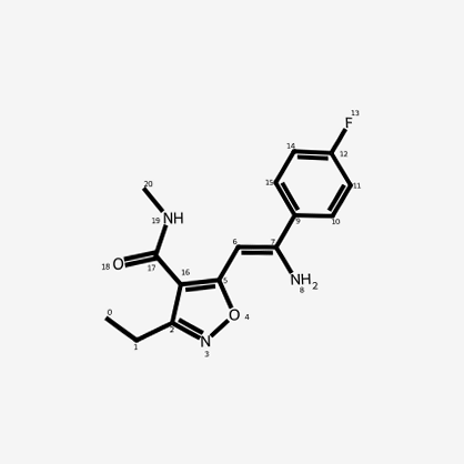 CCc1noc(C=C(N)c2ccc(F)cc2)c1C(=O)NC